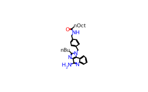 CCCCCCCCC(=O)NCc1ccc(Cn2c(CCCC)nc3c(N)nc4ccccc4c32)cc1